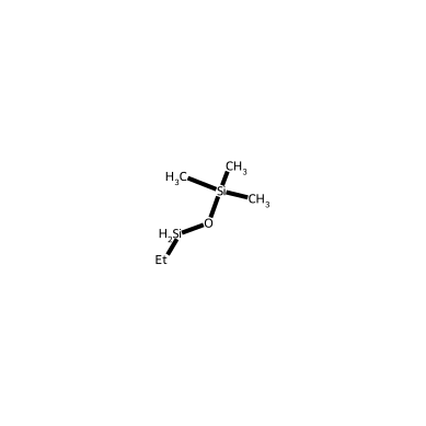 CC[SiH2]O[Si](C)(C)C